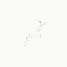 O=C1Cc2cc(OCC(O)CN3CCN(c4cccc(F)c4)CC3)ccc2N1